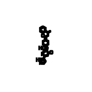 CC(CC(=O)N1CCC(O)(Cn2cnc(-c3ccn[nH]3)cc2=O)CC1)c1ccccc1